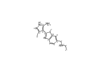 [CH2][CH]NCc1ccc2nc(-c3c(C)n[nH]c3N)sc2c1